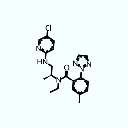 CCN(C(=O)c1cc(C)ccc1-n1nccn1)[C@@H](C)CNc1ccc(Cl)cn1